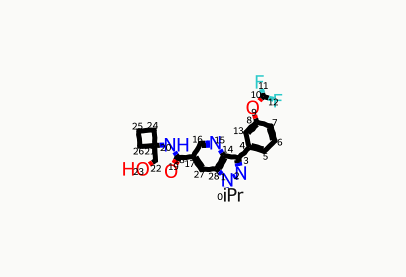 CC(C)n1nc(-c2cccc(OC(F)F)c2)c2ncc(C(=O)NC3(CO)CCC3)cc21